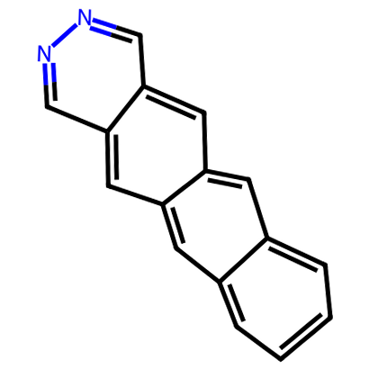 c1ccc2cc3cc4cnncc4cc3cc2c1